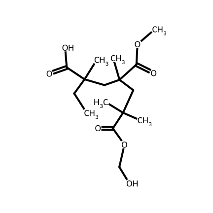 CCC(C)(CC(C)(CC(C)(C)C(=O)OCO)C(=O)OC)C(=O)O